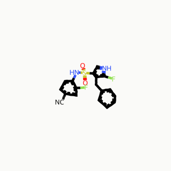 N#Cc1ccc(NS(=O)(=O)c2c[nH]c(F)c2Cc2ccccc2)c(F)c1